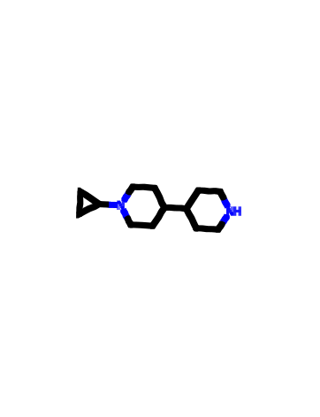 C1CC(C2CCN(C3CC3)CC2)CCN1